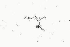 C=C/C=C(/C)NC